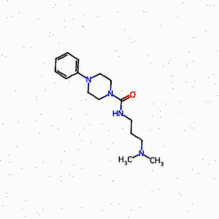 CN(C)CCCNC(=O)N1CCN(c2ccccc2)CC1